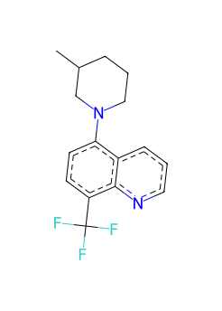 CC1CCCN(c2ccc(C(F)(F)F)c3ncccc23)C1